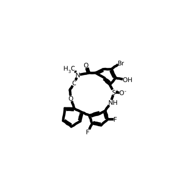 CN1CCOc2ccccc2-c2cc(c(F)cc2F)N[S+]([O-])c2cc(cc(Br)c2O)C1=O